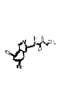 CCNC(=O)Nc1cc2cc(Br)cc(Cl)c2cn1